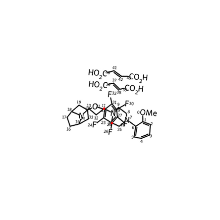 COc1ccccc1N1CCN(CCCN2C3CCC2CC(Oc2c(F)c(F)c(F)c(F)c2F)C3)CC1.O=C(O)/C=C/C(=O)O.O=C(O)/C=C/C(=O)O